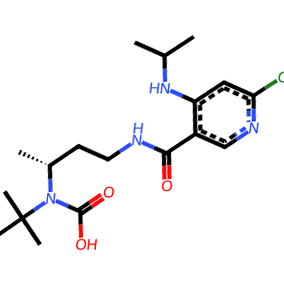 CC(C)Nc1cc(Cl)ncc1C(=O)NCC[C@@H](C)N(C(=O)O)C(C)(C)C